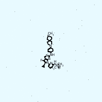 CN1CCC2(CC1)CCN(C1=CC=C(Nc3ncc4c(F)c(C5CC5)n(-c5cccc(N[SH](C)(C)=O)n5)c4n3)CC1)CC2